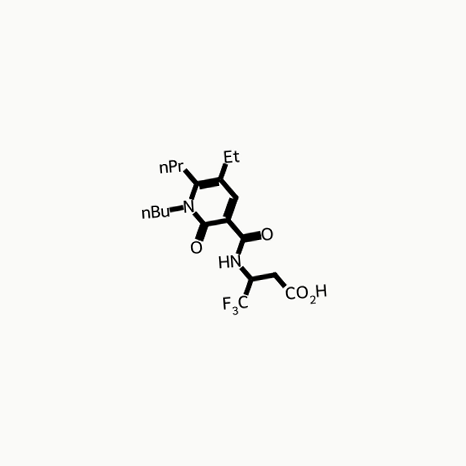 CCCCn1c(CCC)c(CC)cc(C(=O)NC(CC(=O)O)C(F)(F)F)c1=O